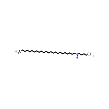 CCCCCCCCCCCCCCCCCCCCCCCCNCCCCC